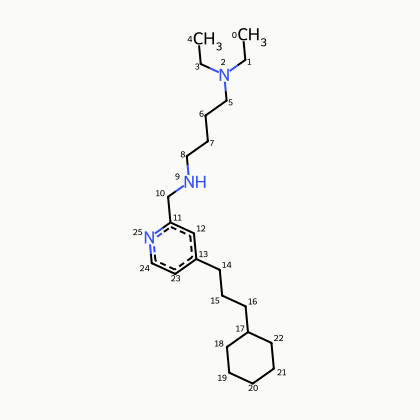 CCN(CC)CCCCNCc1cc(CCCC2CCCCC2)ccn1